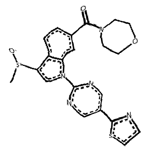 C[S+]([O-])c1cn(-c2ncc(-c3nccs3)cn2)c2cc(C(=O)N3CCOCC3)ccc12